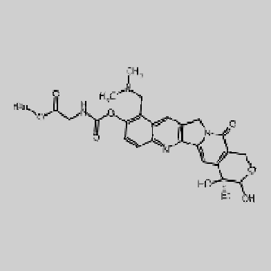 CC[C@]1(O)c2cc3n(c(=O)c2COC1O)Cc1cc2c(CN(C)C)c(OC(=O)NCC(=O)OC(C)(C)C)ccc2nc1-3